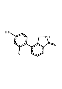 Nc1ccc(-c2cccc3c2CNC3=O)c(Cl)c1